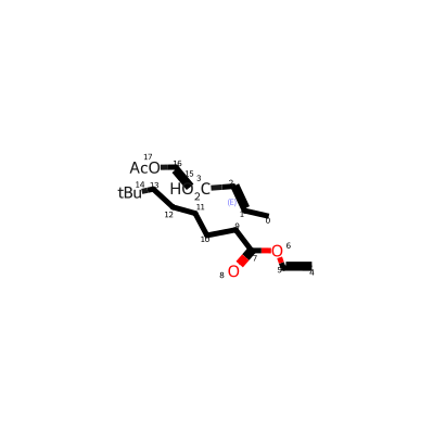 C/C=C/C(=O)O.C=COC(=O)CCCCCC(C)(C)C.C=COC(C)=O